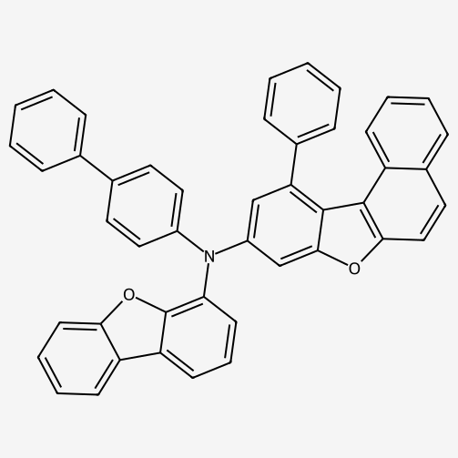 c1ccc(-c2ccc(N(c3cc(-c4ccccc4)c4c(c3)oc3ccc5ccccc5c34)c3cccc4c3oc3ccccc34)cc2)cc1